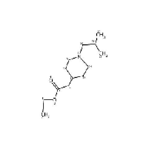 CCOC(=O)CC1CCN(CC(C)C)CC1